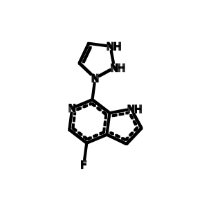 Fc1cnc(N2C=CNN2)c2[nH]ccc12